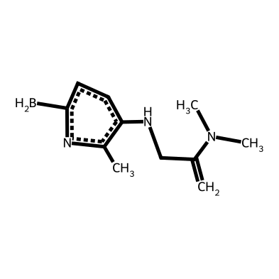 Bc1ccc(NCC(=C)N(C)C)c(C)n1